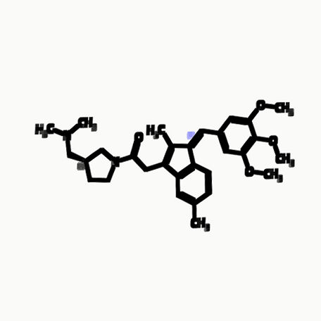 COc1cc(/C=C2/C(C)=C(CC(=O)N3CC[C@@H](CN(C)C)C3)c3cc(C)ccc32)cc(OC)c1OC